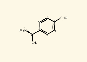 CN[C@H](C)c1ccc(C=O)cc1